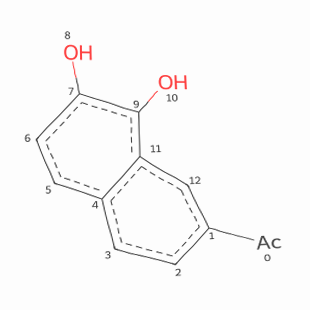 CC(=O)c1ccc2ccc(O)c(O)c2c1